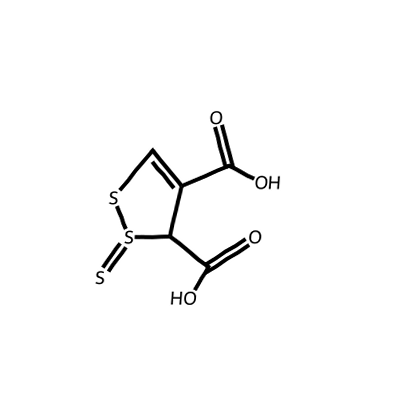 O=C(O)C1=CSS(=S)C1C(=O)O